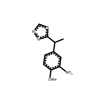 COc1ccc(C(C)c2nncs2)cc1[N+](=O)[O-]